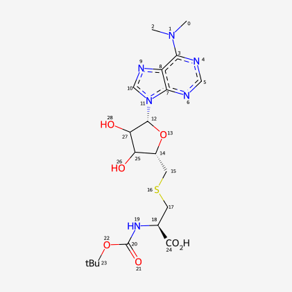 CN(C)c1ncnc2c1ncn2[C@@H]1O[C@H](CSC[C@H](NC(=O)OC(C)(C)C)C(=O)O)C(O)C1O